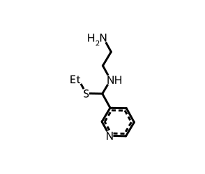 CCSC(NCCN)c1cccnc1